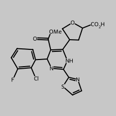 COC(=O)C1=C(C2COC(C(=O)O)C2)NC(c2nccs2)=NC1c1cccc(F)c1Cl